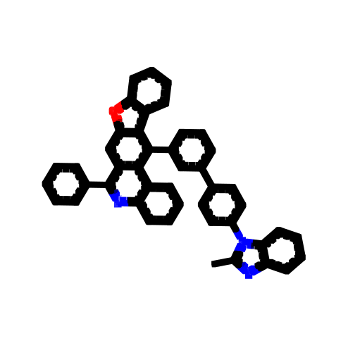 Cc1nc2ccccc2n1-c1ccc(-c2cccc(-c3c4c(cc5c(-c6ccccc6)nc6ccccc6c35)oc3ccccc34)c2)cc1